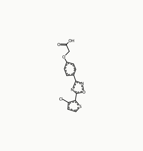 O=C(O)COc1ccc(-c2noc(-c3sccc3Cl)n2)cc1